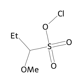 CCC(OC)S(=O)(=O)OCl